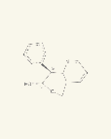 O[C@H]1CCC2C=CC=NC2[C@@H]1c1ccccc1